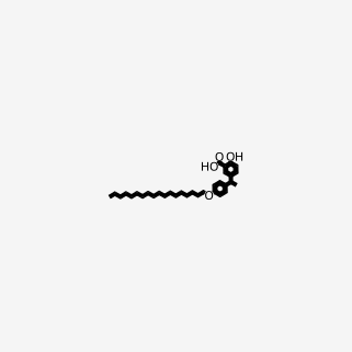 CCCCCCCCCCCCCCCCCCOc1ccc(C(C)c2ccc(O)c(C(=O)O)c2)cc1